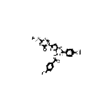 Nc1ncn([C@H]2C[C@H](OC(=O)c3ccc(Cl)cc3)[C@@H](COC(=O)c3ccc(Cl)cc3)O2)c(=O)n1